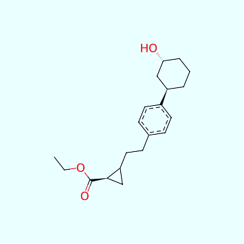 CCOC(=O)[C@@H]1CC1CCc1ccc([C@@H]2CCC[C@@H](O)C2)cc1